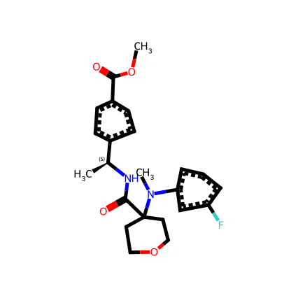 COC(=O)c1ccc([C@H](C)NC(=O)C2(N(C)c3cccc(F)c3)CCOCC2)cc1